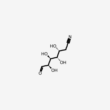 N#CC[C@@H](O)[C@H](O)[C@H](O)[C@@H](O)C=O